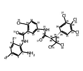 Nc1cc(F)cc(F)c1NC(=O)c1cc(NC(=O)[C@H]2[C@H](c3cc(Cl)c(Cl)c(Cl)c3)C2(Cl)Cl)ccc1Cl